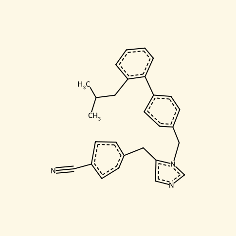 CC(C)Cc1ccccc1-c1ccc(Cn2cncc2Cc2ccc(C#N)cc2)cc1